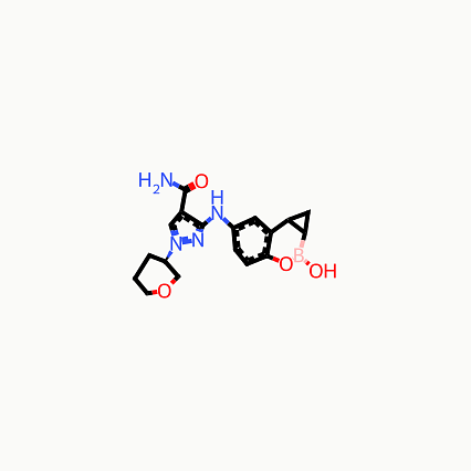 NC(=O)c1cn([C@@H]2CCCOC2)nc1Nc1ccc2c(c1)C1CC1B(O)O2